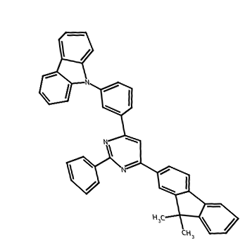 CC1(C)c2ccccc2-c2ccc(-c3cc(-c4cccc(-n5c6ccccc6c6ccccc65)c4)nc(-c4ccccc4)n3)cc21